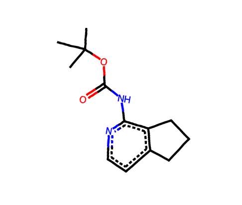 CC(C)(C)OC(=O)Nc1nccc2c1CCC2